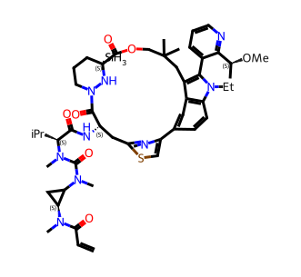 C=CC(=O)N(C)[C@H]1CC1N(C)C(=O)N(C)[C@H](C(=O)N[C@H]1Cc2nc(cs2)-c2ccc3c(c2)c(c(-c2cccnc2[C@H](C)OC)n3CC)CC(C)(C)COC(=O)[C@@]2([SiH3])CCCN(N2)C1=O)C(C)C